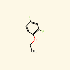 CCOc1[c]cc(F)cc1F